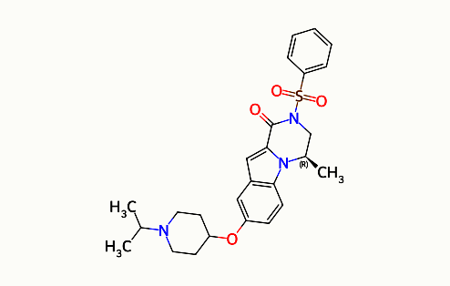 CC(C)N1CCC(Oc2ccc3c(c2)cc2n3[C@H](C)CN(S(=O)(=O)c3ccccc3)C2=O)CC1